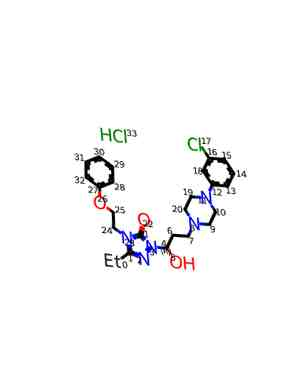 CCc1nn([C@H](O)CCN2CCN(c3cccc(Cl)c3)CC2)c(=O)n1CCOc1ccccc1.Cl